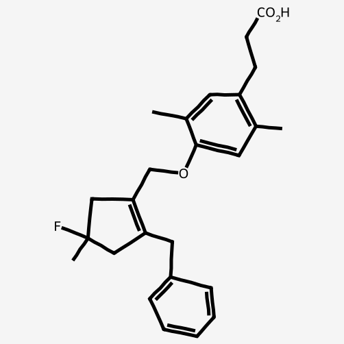 Cc1cc(OCC2=C(Cc3ccccc3)CC(C)(F)C2)c(C)cc1CCC(=O)O